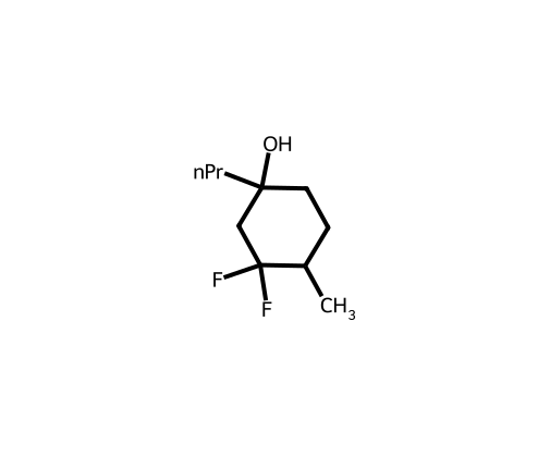 CCCC1(O)CCC(C)C(F)(F)C1